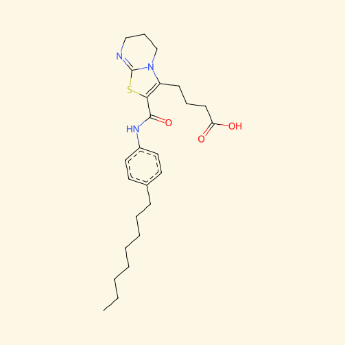 CCCCCCCCc1ccc(NC(=O)C2=C(CCCC(=O)O)N3CCCN=C3S2)cc1